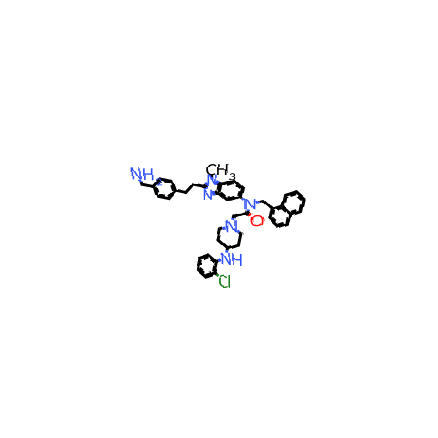 Cn1c(CCc2ccc(CN)cc2)nc2cc(N(Cc3cccc4ccccc34)C(=O)CN3CCC(Nc4ccccc4Cl)CC3)ccc21